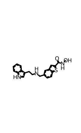 O=C(NO)c1cc2cc(CNCCc3c[nH]c4ccccc34)ccc2s1